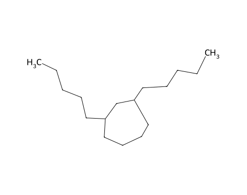 CCCCCC1CCCCC(CCCCC)C1